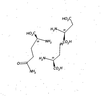 CC(C)C[C@H](N)C(=O)O.NC(=O)CC[C@H](N)C(=O)O.N[C@@H](CC(=O)O)C(=O)O